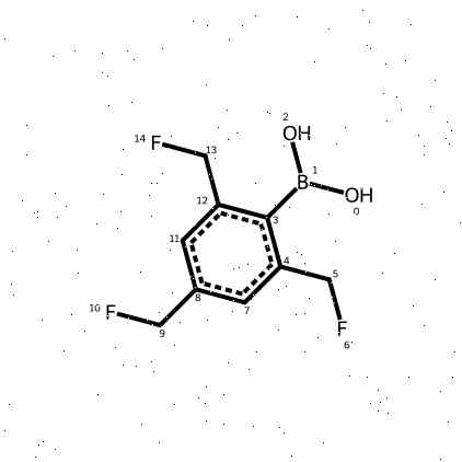 OB(O)c1c(CF)cc(CF)cc1CF